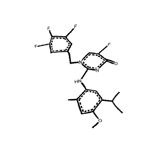 COc1cc(C)c(Nc2nc(=O)c(F)cn2Cc2cc(F)c(F)c(F)c2)cc1C(C)C